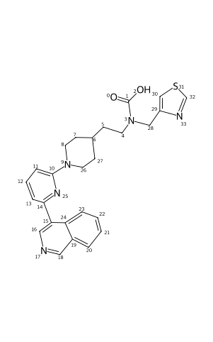 O=C(O)N(CCC1CCN(c2cccc(-c3cncc4ccccc34)n2)CC1)Cc1cscn1